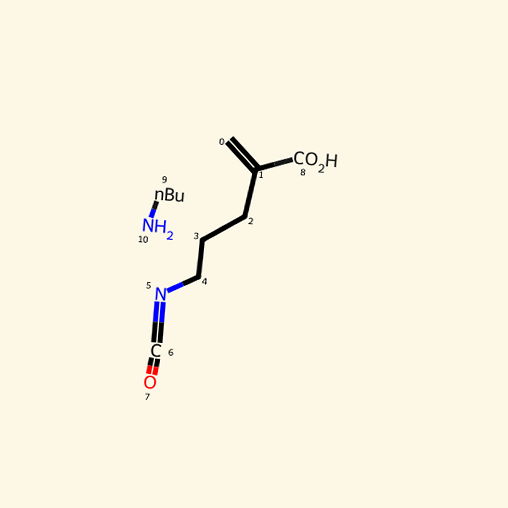 C=C(CCCN=C=O)C(=O)O.CCCCN